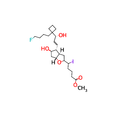 COC(=O)CCCC(I)C1C[C@@H]2[C@@H](/C=C/[C@@H](O)C3(CCCCF)CCC3)[C@H](O)C[C@H]2O1